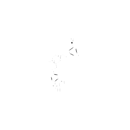 CS(=O)(=O)c1ccc(OCC2CN(CCc3cc(Cl)cc(C#N)c3)CCN2)cc1C(F)(F)F